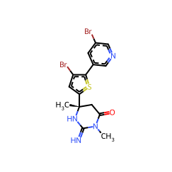 CN1C(=N)N[C@](C)(c2cc(Br)c(-c3cncc(Br)c3)s2)CC1=O